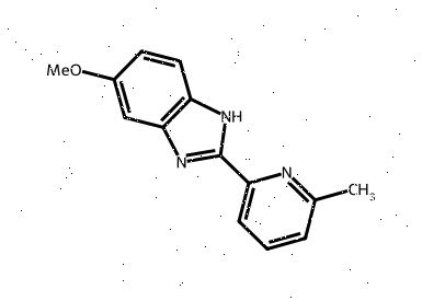 COc1ccc2[nH]c(-c3cccc(C)n3)nc2c1